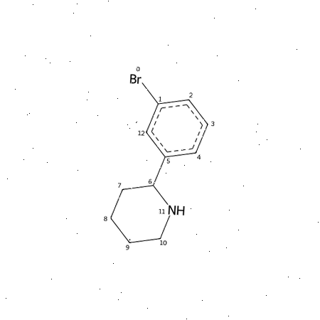 Brc1cccc(C2CC[CH]CN2)c1